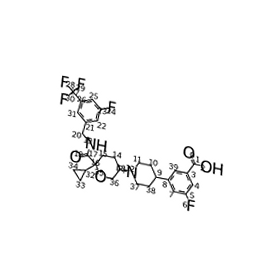 O=C(O)c1cc(F)cc(C2CCN([C@@H]3CCC(C(=O)NCc4cc(F)cc(C(F)(F)F)c4)(C4CC4)OC3)CC2)c1